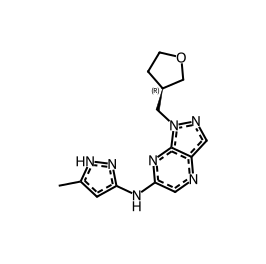 Cc1cc(Nc2cnc3cnn(C[C@H]4CCOC4)c3n2)n[nH]1